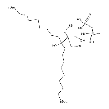 CCCCCCCCCCCCCCCCCCC(O)(CCCCCCCCCCCCCCCCCC)C(CO)(CO)CO.O=P(O)(O)OP(=O)(O)O